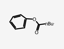 CCC[CH]C(=O)Oc1ccccc1